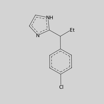 CCC(c1ccc(Cl)cc1)c1ncc[nH]1